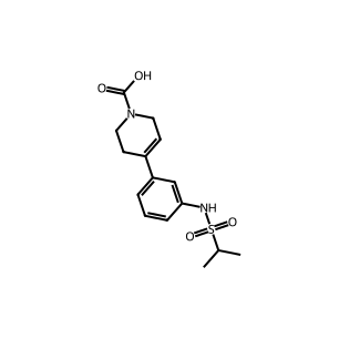 CC(C)S(=O)(=O)Nc1cccc(C2=CCN(C(=O)O)CC2)c1